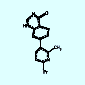 Cc1nc(C(C)C)ccc1-c1ccc2c(=O)nc[nH]c2c1